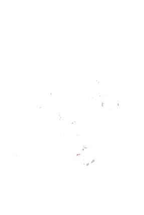 N#Cc1ccc(-c2cc(-c3ccccc3)nc(-c3ccccc3)c2)c(-n2c3ccc(-c4ccccc4)cc3c3cc(-c4ccccc4)ccc32)c1-n1c2ccc(-c3ccccc3)cc2c2cc(-c3ccccc3)ccc21